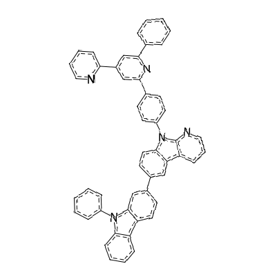 c1ccc(-c2cc(-c3ccccn3)cc(-c3ccc(-n4c5ccc(-c6ccc7c8ccccc8n(-c8ccccc8)c7c6)cc5c5cccnc54)cc3)n2)cc1